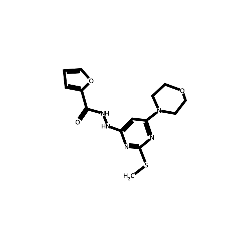 CSc1nc(NNC(=O)c2ccco2)cc(N2CCOCC2)n1